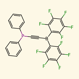 Fc1c(F)c(F)c(B(C#CP(c2ccccc2)c2ccccc2)c2c(F)c(F)c(F)c(F)c2F)c(F)c1F